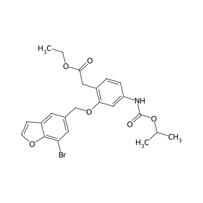 CCOC(=O)Cc1ccc(NC(=O)OC(C)C)cc1OCc1cc(Br)c2occc2c1